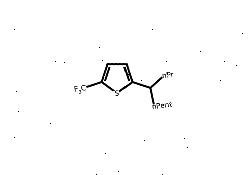 CCCCCC(CCC)c1ccc(C(F)(F)F)s1